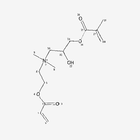 C=CC(=O)OCC[N+](C)(C)CC(O)COC(=O)C(=C)C